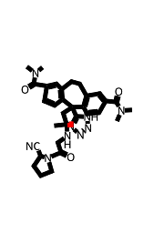 CN(C)C(=O)c1ccc2c(c1)CCc1cc(C(=O)N(C)C)ccc1C2(CC(C)(C)NCC(=O)N1CCCC1C#N)c1nnn[nH]1